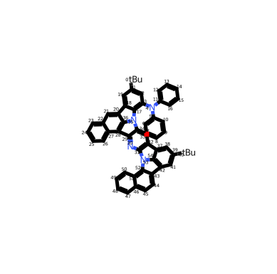 CC(C)(C)c1cc(N(c2ccccc2)c2ccccc2)c2c(c1)c1cc3ccccc3c3c4nc5c(cc4n2c13)c1cc(C(C)(C)C)cc2c3ccc4ccccc4c3n5c12